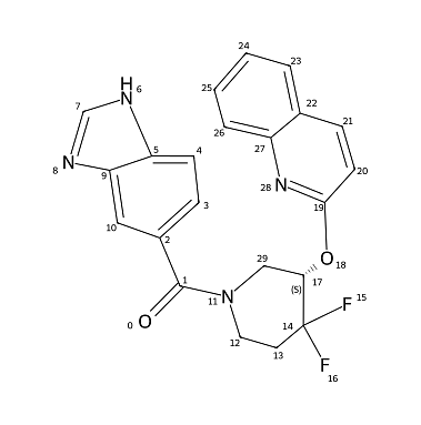 O=C(c1ccc2[nH]cnc2c1)N1CCC(F)(F)[C@@H](Oc2ccc3ccccc3n2)C1